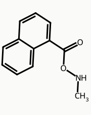 CNOC(=O)c1cccc2ccccc12